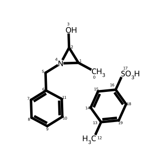 CC1C(O)N1Cc1ccccc1.Cc1ccc(S(=O)(=O)O)cc1